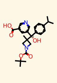 CC(C)c1ccc([C@](O)(c2cncc(C(=O)O)c2)C2(C)CN(C(=O)OC(C)(C)C)C2)cc1